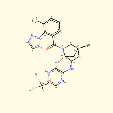 Cc1cccc(C(=O)N2C[C@@H]3C[C@@H](Nc4cnc(C(F)(F)F)cn4)[C@@H]2C3)c1-n1nccn1